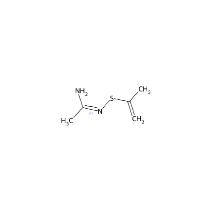 C=C(C)S/N=C(/C)N